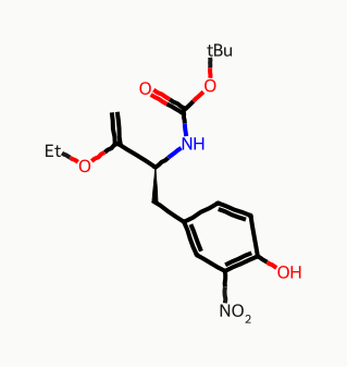 C=C(OCC)[C@H](Cc1ccc(O)c([N+](=O)[O-])c1)NC(=O)OC(C)(C)C